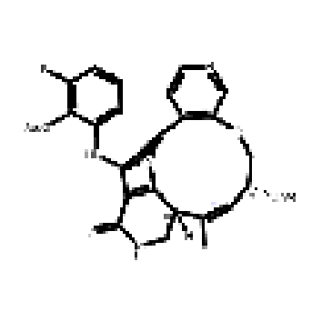 COc1c(F)cccc1Nc1c2[nH]c3c1C(=O)NC[C@H]3/C(C)=C\[C@@H](OC)COc1cnccc1-2